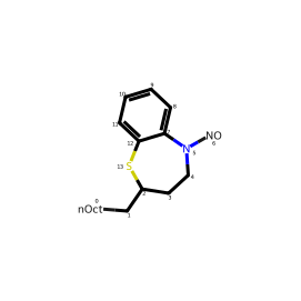 CCCCCCCCCC1CCN(N=O)c2ccccc2S1